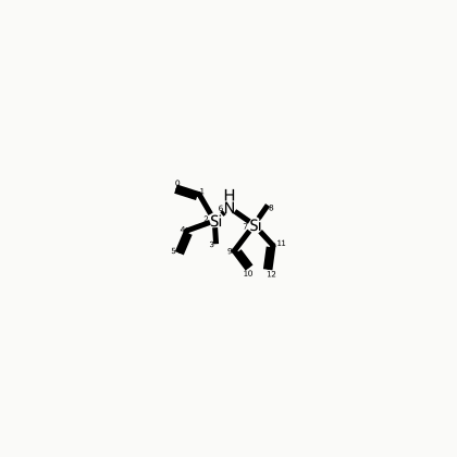 C=C[Si](C)(C=C)N[Si](C)(C=C)C=C